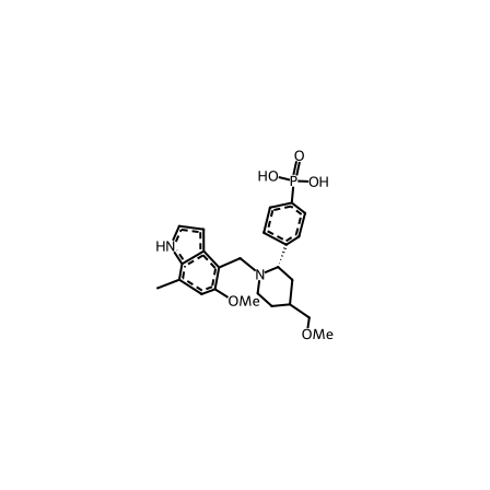 COCC1CCN(Cc2c(OC)cc(C)c3[nH]ccc23)[C@H](c2ccc(P(=O)(O)O)cc2)C1